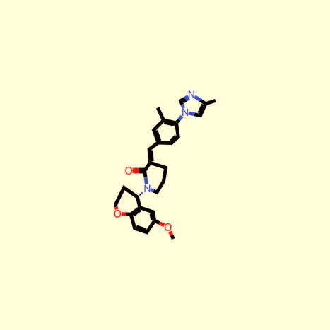 COc1ccc2c(c1)[C@@H](N1CCC/C(=C\c3ccc(-n4cnc(C)c4)c(C)c3)C1=O)CCO2